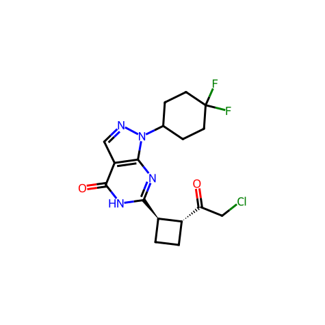 O=C(CCl)[C@@H]1CC[C@H]1c1nc2c(cnn2C2CCC(F)(F)CC2)c(=O)[nH]1